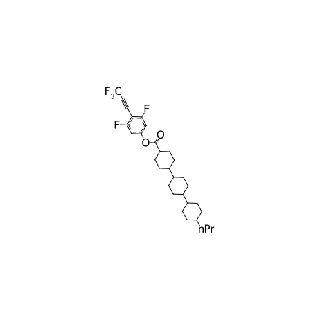 CCCC1CCC(C2CCC(C3CCC(C(=O)Oc4cc(F)c(C#CC(F)(F)F)c(F)c4)CC3)CC2)CC1